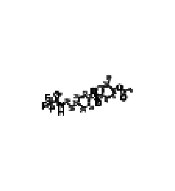 CC(=O)Oc1ccc(S(=O)(=O)c2ccc(CCNC(=O)C(F)(F)F)cc2)cc1C